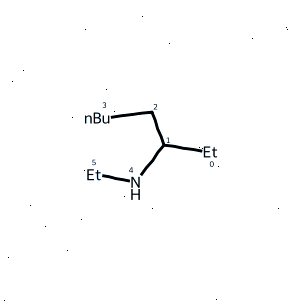 [CH2]CC(CCCCC)NCC